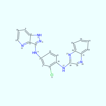 Clc1cc(Nc2n[nH]c3cccnc23)ccc1Nc1cnc2ccccc2n1